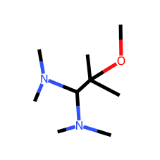 COC(C)(C)C(N(C)C)N(C)C